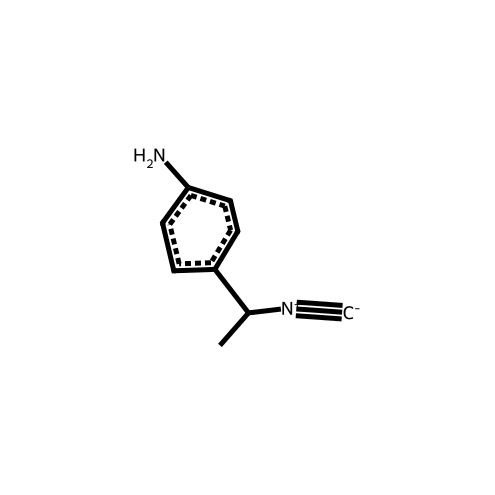 [C-]#[N+]C(C)c1ccc(N)cc1